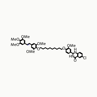 COc1cc(C2NC(=O)c3cc(Cl)ccc3N2)ccc1OCCCCCCCCCCOc1c(OC)cc(/C=C/c2cc(OC)c(OC)c(OC)c2)cc1OC